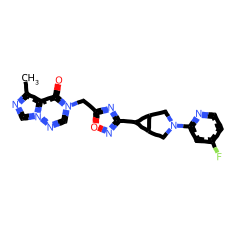 Cc1ncn2ncn(Cc3nc(C4C5CN(c6cc(F)ccn6)CC54)no3)c(=O)c12